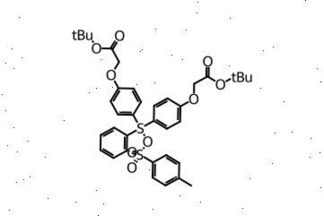 Cc1ccc(S(=O)(=O)OS(c2ccccc2)(c2ccc(OCC(=O)OC(C)(C)C)cc2)c2ccc(OCC(=O)OC(C)(C)C)cc2)cc1